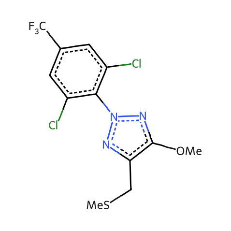 COc1nn(-c2c(Cl)cc(C(F)(F)F)cc2Cl)nc1CSC